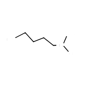 CCCCC[SiH](C)[SiH3]